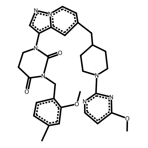 COc1ccnc(N2CCC(Cc3ccn4ncc(N5CCC(=O)N(Cc6ccc(C)cc6OC)C5=O)c4c3)CC2)n1